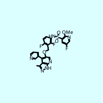 COc1ncc(F)cc1S(=O)(=O)Nc1ccc(F)c(COc2cnc3[nH]nc(C)c3c2-c2cccnc2)c1F